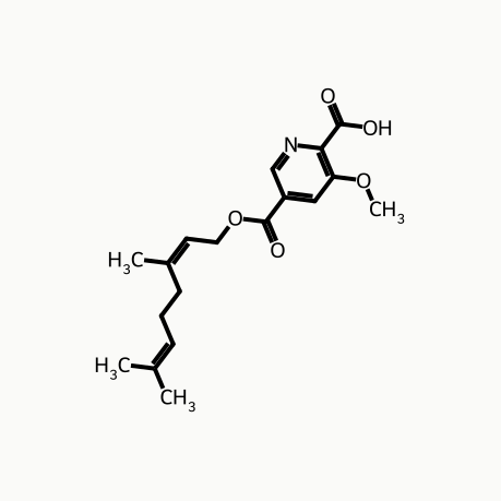 COc1cc(C(=O)OCC=C(C)CCC=C(C)C)cnc1C(=O)O